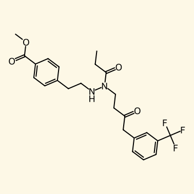 CCC(=O)N(CCC(=O)Cc1cccc(C(F)(F)F)c1)NCCc1ccc(C(=O)OC)cc1